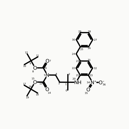 CC(C)(CCN(C(=O)OC(C)(C)C)C(=O)OC(C)(C)C)Nc1cc(Cc2ccccc2)ccc1[N+](=O)[O-]